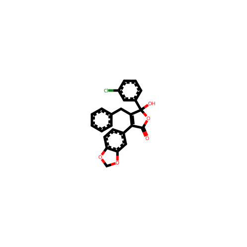 O=C1OC(O)(c2cccc(Cl)c2)C(Cc2ccccc2)=C1c1ccc2c(c1)OCO2